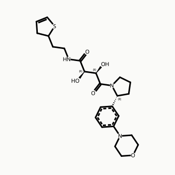 O=C(NCCC1CC=CS1)[C@H](O)[C@@H](O)C(=O)N1CCC[C@@H]1c1cccc(N2CCOCC2)c1